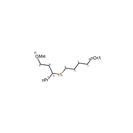 CCCCCCCCCCCCSC(CCC)CCOC